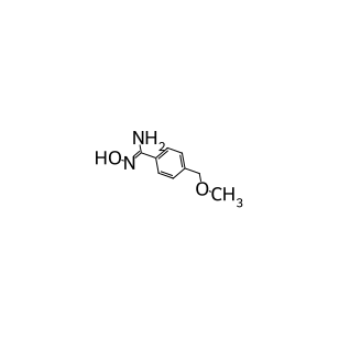 COCc1ccc(/C(N)=N/O)cc1